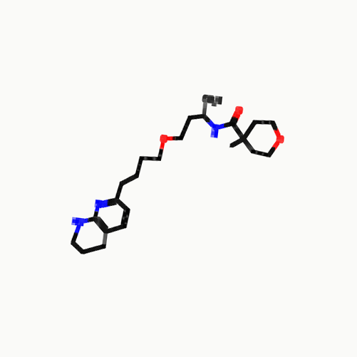 CC1(C(=O)NC(CCOCCCCc2ccc3c(n2)NCCC3)C(=O)O)CCOCC1